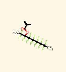 C=C(C)C(=O)OC(F)(C(F)(F)C(F)(F)F)C(F)(F)C(F)(F)C(F)(F)C(F)(F)C(F)(F)C(F)(F)F